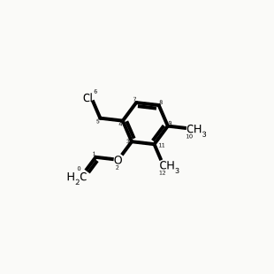 C=COc1c(CCl)ccc(C)c1C